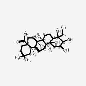 CC1(C)CC[C@]2(C(=O)O)CC[C@]3(C)C(=CC[C@@H]4[C@@]5(C)CC(O)C(O)C(C)(CO)C5CC[C@]43C)[C@H]2C1